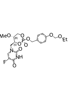 CCOCOc1ccc(COP2(=O)OC[C@@H](OC)[C@H](Cn3cc(F)c(=O)[nH]c3=O)O2)cc1